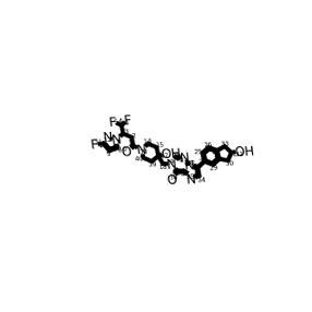 O=C(CC(C(F)F)n1ccc(F)n1)N1CCC(O)(Cn2cnn3c(-c4ccc5c(c4)CC(O)C5)cnc3c2=O)CC1